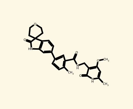 COc1cc(C)[nH]c(=O)c1CNC(=O)c1cc(-c2ccc3c(c2)NC(=O)C32CCOCC2)ccc1C